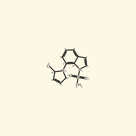 CS(=O)(=O)n1ccc2cccc(N3CC=CC3Cl)c21